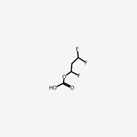 O=C(O)OC(F)CC(F)F